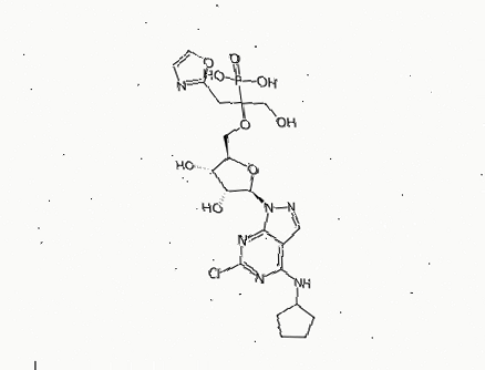 O=P(O)(O)C(CO)(Cc1ncco1)OC[C@H]1O[C@@H](n2ncc3c(NC4CCCC4)nc(Cl)nc32)[C@H](O)[C@@H]1O